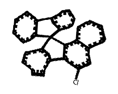 Clc1cc2ccccc2c2c1-c1ccccc1C21c2ccccc2-c2ccccc21